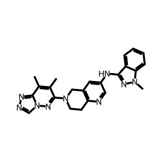 Cc1c(N2CCc3ncc(Nc4nn(C)c5ccccc45)cc3C2)nn2cnnc2c1C